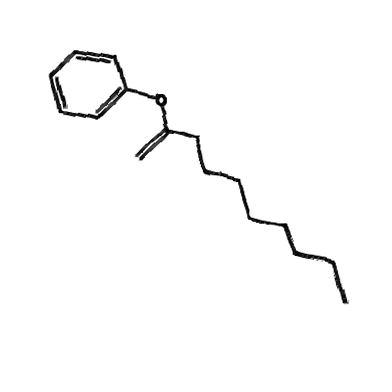 C=C(CCCCCCCC)Oc1ccccc1